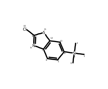 C[Si](C)(C)c1ccc2nc(Cl)sc2c1